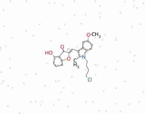 COc1ccc2c(c1)c(/C=C1\Oc3cccc(O)c3C1=O)c(C)n2CCCCCl